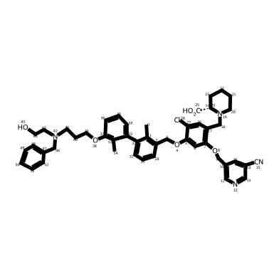 Cc1c(COc2cc(OCc3cncc(C#N)c3)c(CN3CCCC[C@H]3C(=O)O)cc2Cl)cccc1-c1cccc(OCCCN(CCO)Cc2ccccc2)c1C